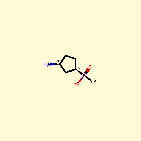 CCCP(=O)(O)[C@@H]1CC[C@H](N)C1